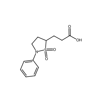 O=C(O)CCC1CCN(c2ccccc2)S1(=O)=O